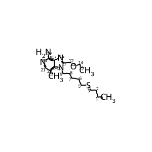 CCCCSCCCCCn1c(COCC)nc2c(N)ncc(C)c21